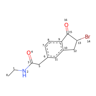 CCNC(=O)Cc1ccc2c(c1)CC(Br)C2=O